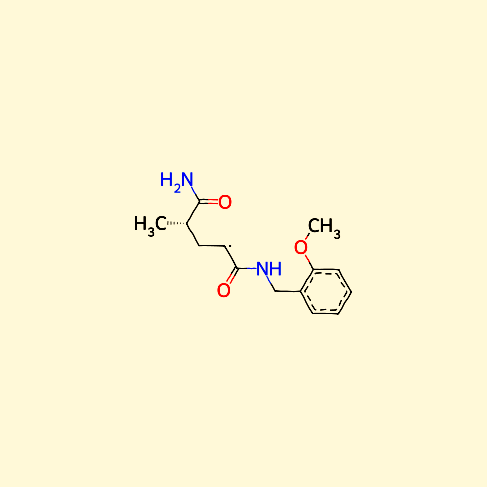 COc1ccccc1CNC(=O)[CH]C[C@H](C)C(N)=O